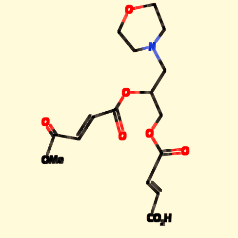 COC(=O)/C=C/C(=O)OC(COC(=O)/C=C/C(=O)O)CN1CCOCC1